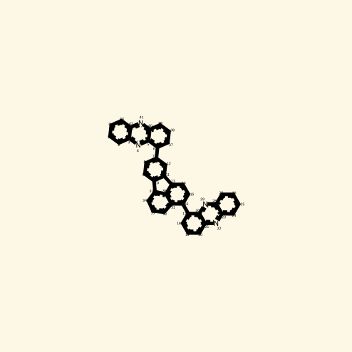 c1ccc2nc3c(-c4ccc5c(c4)-c4ccc(-c6cccc7nc8ccccc8nc67)c6cccc-5c46)cccc3nc2c1